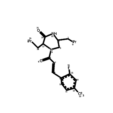 CC(C)CC1CN(C(=O)/C=C/c2ccc(C(F)(F)F)cc2F)C(CC(C)C)C(=O)N1